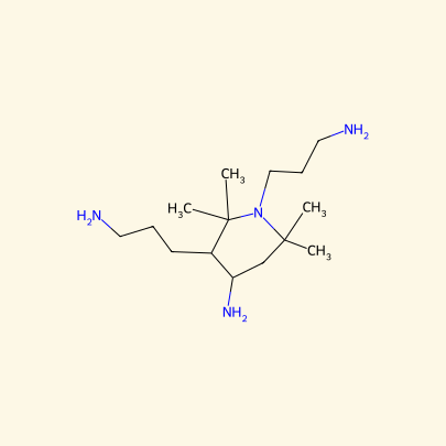 CC1(C)CC(N)C(CCCN)C(C)(C)N1CCCN